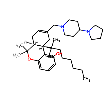 CCCCCCC(C)(C)[C@]12CC(CN3CCC(N4CCCC4)CC3)=CC[C@@H]1C(C)(C)Oc1cccc(O)c12